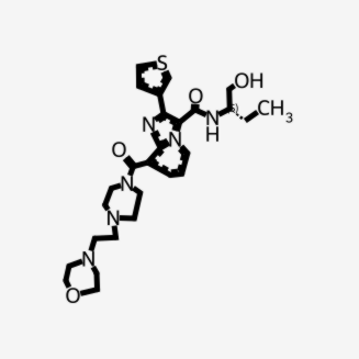 CC[C@@H](CO)NC(=O)c1c(-c2ccsc2)nc2c(C(=O)N3CCN(CCN4CCOCC4)CC3)cccn12